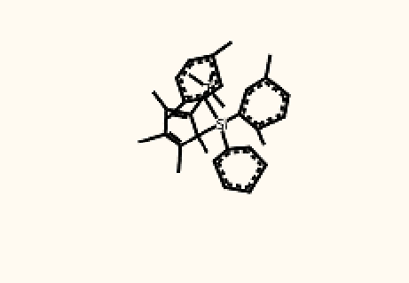 CC1=C(C)C(C)([Si](c2ccccc2)(c2cc(C)ccc2C)c2cc(C)ccc2C)[C]([Ti]([CH3])([CH3])[CH3])=C1C